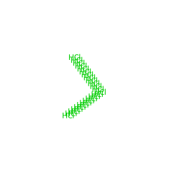 Cl.Cl.Cl.Cl.Cl.Cl.Cl.Cl.Cl.Cl.Cl.Cl.Cl.Cl.Cl.Cl.Cl.Cl.Cl.Cl.Cl.Cl.Cl.Cl